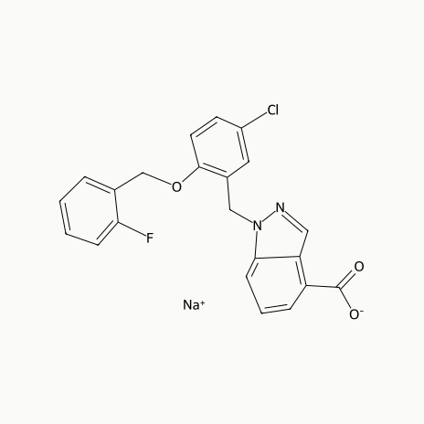 O=C([O-])c1cccc2c1cnn2Cc1cc(Cl)ccc1OCc1ccccc1F.[Na+]